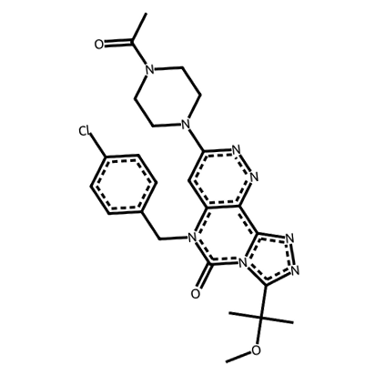 COC(C)(C)c1nnc2c3nnc(N4CCN(C(C)=O)CC4)cc3n(Cc3ccc(Cl)cc3)c(=O)n12